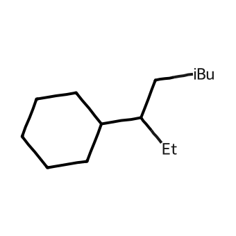 CCC(C)CC(CC)C1CCCCC1